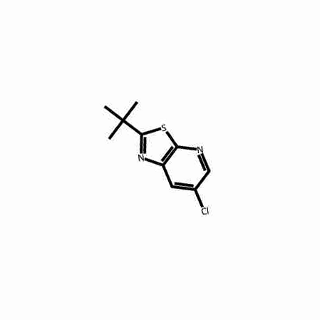 CC(C)(C)c1nc2cc(Cl)cnc2s1